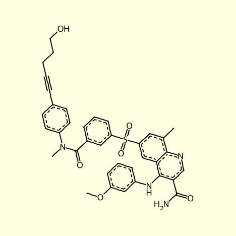 COc1cccc(Nc2c(C(N)=O)cnc3c(C)cc(S(=O)(=O)c4cccc(C(=O)N(C)c5ccc(C#CCCCO)cc5)c4)cc23)c1